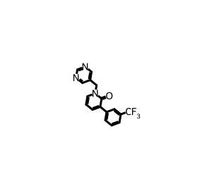 O=c1c(-c2cccc(C(F)(F)F)c2)cccn1Cc1cncnc1